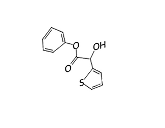 O=C(Oc1ccccc1)C(O)c1cccs1